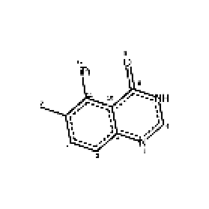 Cc1ccc2nc[nH]c(=O)c2c1C(C)C